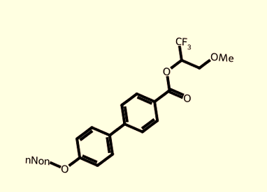 CCCCCCCCCOc1ccc(-c2ccc(C(=O)OC(COC)C(F)(F)F)cc2)cc1